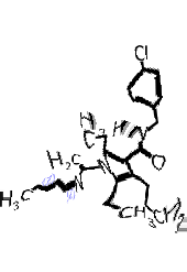 C=C(/N=C\C=C/C)n1c(CC)c(CCC)c(C(=O)NCc2ccc(Cl)cc2)c1CC